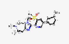 C=N/C(=C\c1nc(-c2ncc(-c3cccc(OC)c3)cc2S(=O)(=O)CC)n(C)c1C)C(F)(F)F